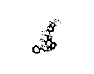 Cc1nc2nn(C)cc2cc1-n1nc(-c2cccc3nn(CC(O)C4CCCCC4)cc23)c(C(C)C)c1C